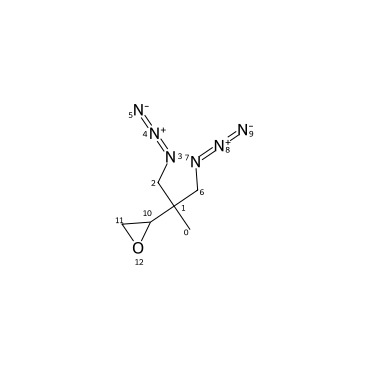 CC(CN=[N+]=[N-])(CN=[N+]=[N-])C1CO1